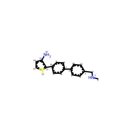 CNCc1ccc(-c2ccc(-c3sccc3N)cc2)cc1